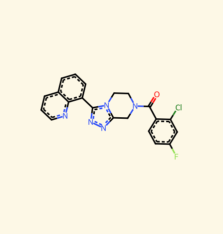 O=C(c1ccc(F)cc1Cl)N1CCn2c(nnc2-c2cccc3cccnc23)C1